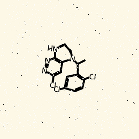 CC(c1cc(Cl)ccc1Cl)N1CCNc2nnc(Cl)cc21